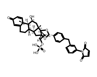 C[C@]12C=CC(=O)C=C1CC[C@@H]1[C@@H]2[C@@H](O)C[C@@]2(C)[C@H]1C[C@H]1O[C@@H](c3ccc(Cc4cccc(N5C(=O)C=CC5=O)c4)cc3)O[C@]12C(=O)COP(=O)(O)O